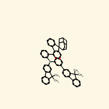 CC1(C)c2ccccc2-c2ccc(-c3cccc(N(c4ccc5c(c4)C(C)(C)c4ccccc4-5)c4ccccc4-c4cccc5c4-c4ccccc4C54C5CC6CC(C5)CC4C6)c3)cc21